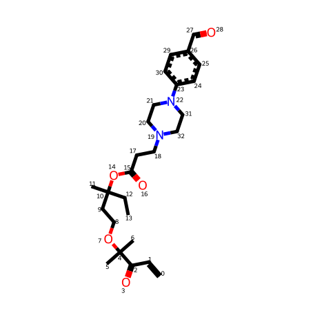 C=CC(=O)C(C)(C)OCCC(C)(CC)OC(=O)CCN1CCN(c2ccc(C=O)cc2)CC1